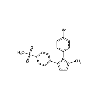 CC(=O)c1ccc(-n2c(C)ccc2-c2ccc(S(C)(=O)=O)cc2)cc1